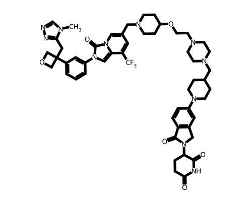 Cn1cnnc1CC1(c2cccc(-n3cc4c(C(F)(F)F)cc(CN5CCC(OCCN6CCN(CC7CCN(c8ccc9c(c8)CN(C8CCC(=O)NC8=O)C9=O)CC7)CC6)CC5)cn4c3=O)c2)COC1